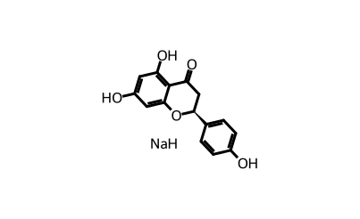 O=C1C[C@@H](c2ccc(O)cc2)Oc2cc(O)cc(O)c21.[NaH]